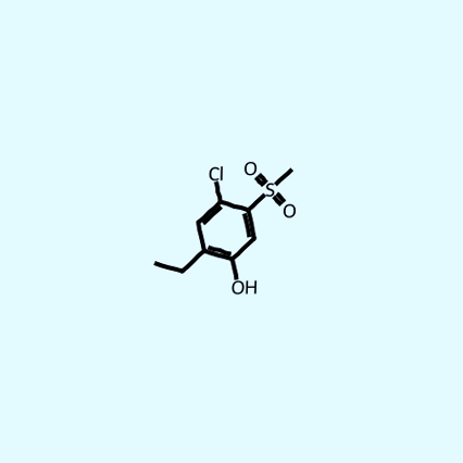 CCc1cc(Cl)c(S(C)(=O)=O)cc1O